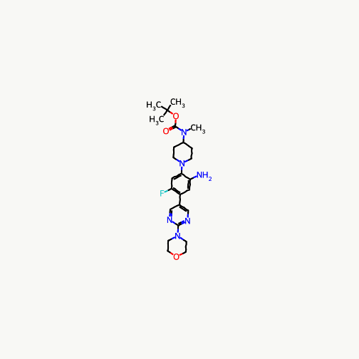 CN(C(=O)OC(C)(C)C)C1CCN(c2cc(F)c(-c3cnc(N4CCOCC4)nc3)cc2N)CC1